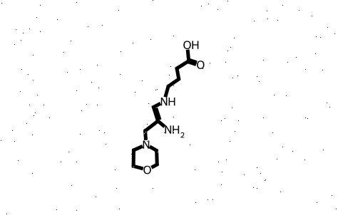 N/C(=C\NCCCC(=O)O)CN1CCOCC1